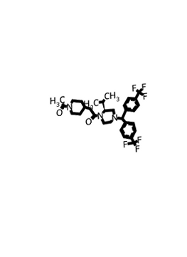 CC(=O)N1CCC(CC(=O)N2CCN(C(c3ccc(C(F)(F)F)cc3)c3ccc(C(F)(F)F)cc3)C[C@@H]2C(C)C)CC1